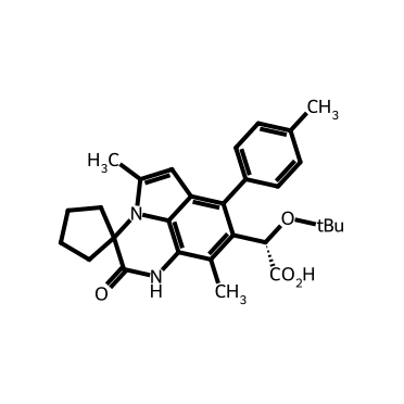 Cc1ccc(-c2c([C@H](OC(C)(C)C)C(=O)O)c(C)c3c4c2cc(C)n4C2(CCCC2)C(=O)N3)cc1